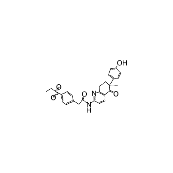 CCS(=O)(=O)c1ccc(CC(=O)Nc2ccc3c(n2)CCC(C)(c2ccc(O)cc2)C3=O)cc1